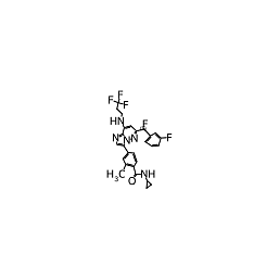 Cc1cc(-c2cnc3c(NCCC(F)(F)F)cc([C@@H](F)c4cccc(F)c4)nn23)ccc1C(=O)NC1CC1